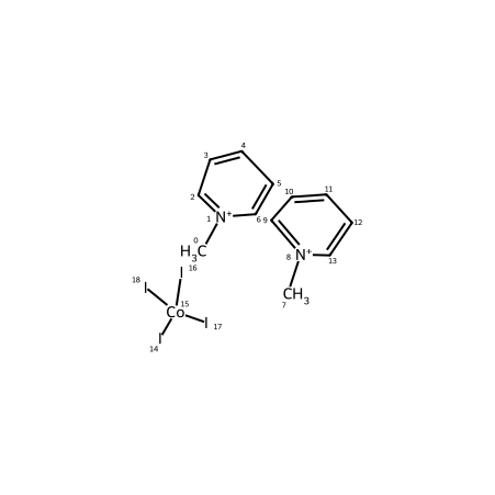 C[n+]1ccccc1.C[n+]1ccccc1.[I][Co]([I])([I])[I]